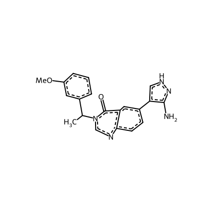 COc1cccc(C(C)n2cnc3ccc(-c4c[nH]nc4N)cc3c2=O)c1